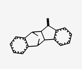 O=C1c2ccccc2C2C3OC(c4ccccc43)C12